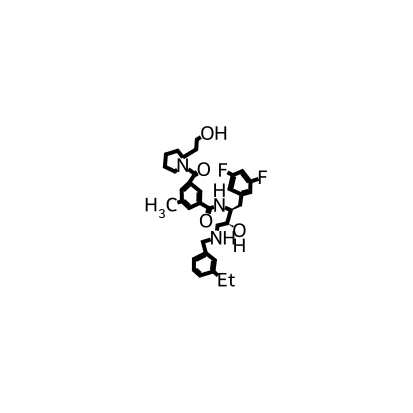 CCc1cccc(CNC[C@@H](O)[C@H](Cc2cc(F)cc(F)c2)NC(=O)c2cc(C)cc(C(=O)N3CCCCC3CCO)c2)c1